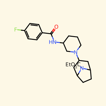 CCOC(=O)N1C2CCC1CC(N1CCCC(NC(=O)c3ccc(F)cc3)C1)C2